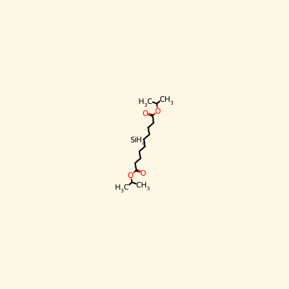 CC(C)OC(=O)CCCCCCCCC(=O)OC(C)C.[SiH4]